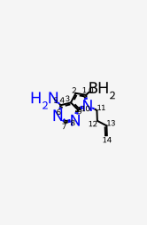 Bc1cc2c(N)ncnc2n1CCC=C